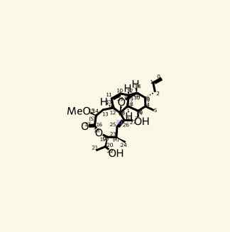 C=CC[C@@H]1C(C)[C@@H](O)[C@@H]2[C@H]3C=C[C@@H]4C[C@H](OC)C(=O)O[C@H](C(C)O)[C@H](C)/C=C(\C)[C@@]24O[C@H]31